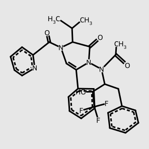 CC(=O)N(C(Cc1ccccc1)C(O)C(F)(F)F)N1C(=O)C(C(C)C)N(C(=O)c2ccccn2)C=C1c1ccccc1